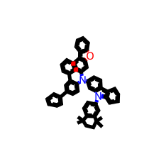 CC1(C)CCC(C)(C)c2cc(-n3c4ccccc4c4ccc(N(c5ccc6c(c5)oc5ccccc56)c5ccc(-c6ccccc6)cc5-c5ccccc5)cc43)ccc21